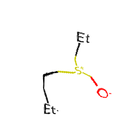 C[CH]C[S+]([O-])CC